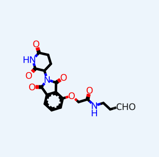 O=CCCNC(=O)COc1cccc2c1C(=O)N(C1CCC(=O)NC1=O)C2=O